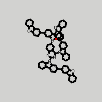 c1ccc2c(c1)oc1ccc(-c3ccc4c5ccccc5n(-c5ccc6nc(-n7c8ccccc8c8ccc(-c9ccc%10oc%11ccccc%11c%10c9)cc87)nc(-n7c8ccccc8c8ccc(-c9ccc%10oc%11ccccc%11c%10c9)cc87)c6c5)c4c3)cc12